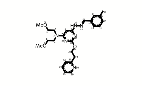 COCCN(CCOC)c1cc(NN=Cc2cccc(C)c2)nc(OCCc2ccccn2)n1